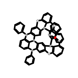 c1ccc(N2c3cc4c(cc3B3c5cc6c(cc5N(c5ccccc5)c5cccc2c53)Oc2cccc3c2B6c2sc5ccccc5c2O3)B2c3sc5ccccc5c3Oc3cccc(c32)O4)cc1